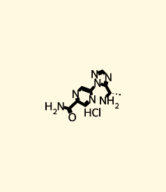 C[C@H](N)c1ncnn1-c1cnc(C(N)=O)cn1.Cl